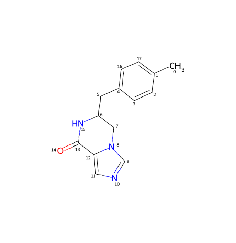 Cc1ccc(CC2Cn3cncc3C(=O)N2)cc1